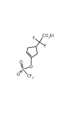 CCOC(=O)C(F)(F)C1CC=C(OS(=O)(=O)C(F)(F)F)C1